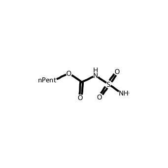 CCCCCOC(=O)NS([NH])(=O)=O